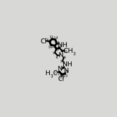 Cc1nc(NCCN2CCc3c([nH]c4ccc(Cl)cc34)C2C)ncc1Cl